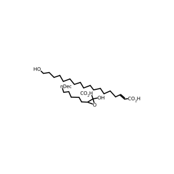 CCCCCCCCCCCCCCCC1OC1(O)C(=O)O.O=C(O)C=CCCCCCCCCCCCCCCCO